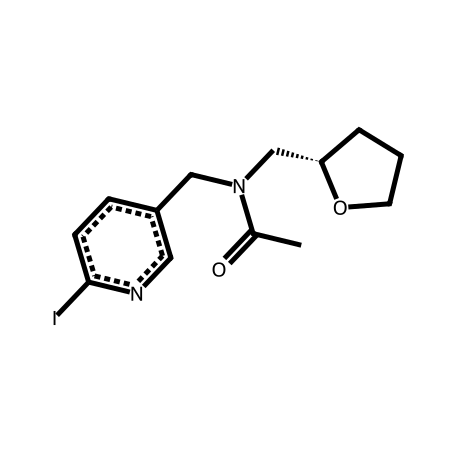 CC(=O)N(Cc1ccc(I)nc1)C[C@@H]1CCCO1